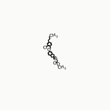 CCCCc1ccc(COc2ccc3c(c2)CC2(C3)CN(CC(=O)OCC)C2)c(Cl)c1